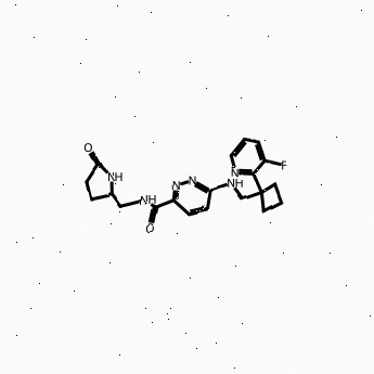 O=C1CCC(CNC(=O)c2ccc(NCC3(c4ncccc4F)CCC3)nn2)N1